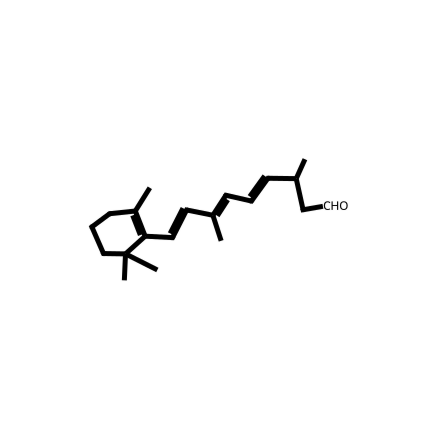 CC1=C(/C=C/C(C)=C/C=C/C(C)CC=O)C(C)(C)CCC1